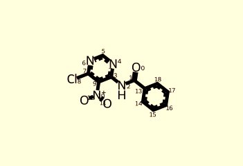 O=C(Nc1ncnc(Cl)c1[N+](=O)[O-])c1ccccc1